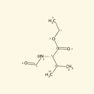 CCOC(=O)[C@@H](NC=O)C(C)C